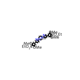 CCOC(=O)c1c(OC)cc(-c2ccc(N3CCCN(c4ccc(-c5cc(OC)c(C(=O)OCC)c(OC)c5)cn4)CC3)nc2)cc1OC